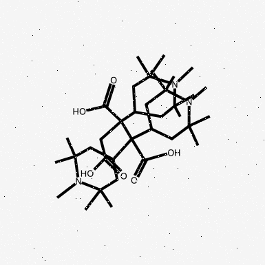 CN1C(C)(C)CC(C(CC(=O)O)(C(=O)O)C(C(=O)O)(C2CC(C)(C)N(C)C(C)(C)C2)C2CC(C)(C)N(C)C(C)(C)C2)CC1(C)C